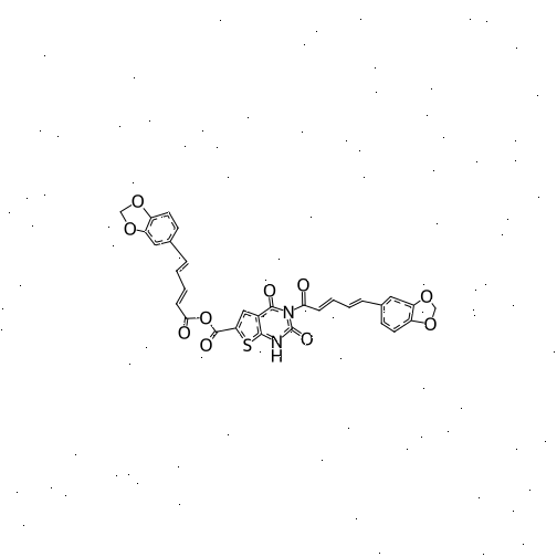 O=C(C=CC=Cc1ccc2c(c1)OCO2)OC(=O)c1cc2c(=O)n(C(=O)C=CC=Cc3ccc4c(c3)OCO4)c(=O)[nH]c2s1